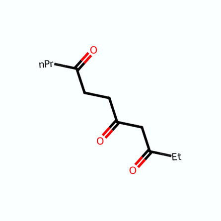 CCCC(=O)CCC(=O)CC(=O)CC